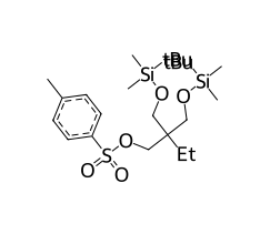 CCC(CO[Si](C)(C)C(C)(C)C)(CO[Si](C)(C)C(C)(C)C)COS(=O)(=O)c1ccc(C)cc1